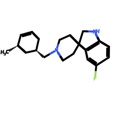 C[C@@H]1C=CC[C@H](CN2CCC3(CC2)CNc2ccc(F)cc23)C1